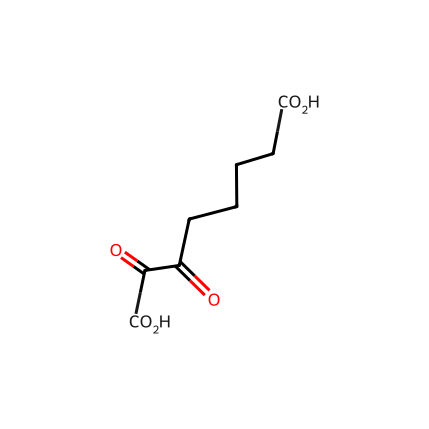 O=C(O)CCCCC(=O)C(=O)C(=O)O